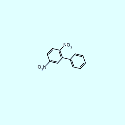 O=[N+]([O-])c1ccc([N+](=O)[O-])c(-c2ccccc2)c1